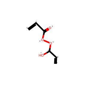 C=CC(=O)OOC(O)C=C